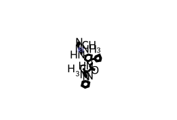 CN/C(=N\C#N)N[C@H]1CC[C@](CNC(=O)c2nn(-c3ccccc3)nc2C)(c2ccccc2)CC1